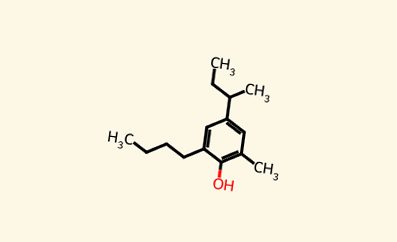 CCCCc1cc(C(C)CC)cc(C)c1O